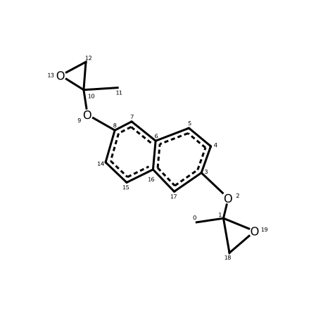 CC1(Oc2ccc3cc(OC4(C)CO4)ccc3c2)CO1